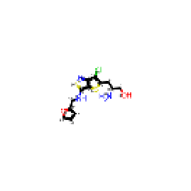 N[C@@H](CO)Cc1sc2c(NCc3ccco3)snc2c1Cl